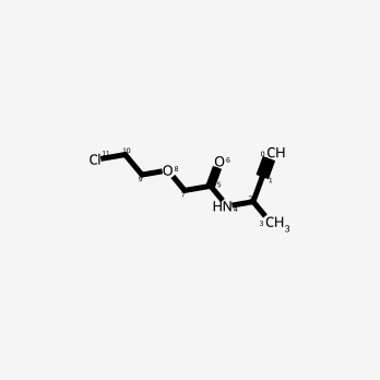 C#CC(C)NC(=O)COCCCl